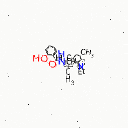 CCN1CCc2c(C)cc(C)c(CC(C)(C)CNC(=O)c3ccccc3O)c21